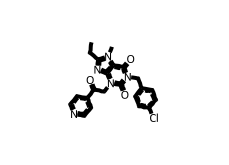 CCc1nc2c(c(=O)n(Cc3ccc(Cl)cc3)c(=O)n2CC(=O)c2ccncc2)n1C